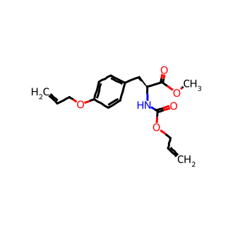 C=CCOC(=O)N[C@@H](Cc1ccc(OCC=C)cc1)C(=O)OC